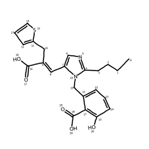 CCCCc1ncc(/C=C(\Cc2cccs2)C(=O)O)n1Cc1cccc(O)c1C(=O)O